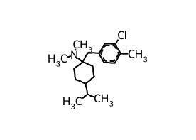 Cc1ccc(CC2(N(C)C)CCC(C(C)C)CC2)cc1Cl